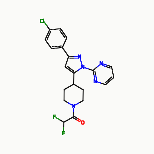 O=C(C(F)F)N1CCC(c2cc(-c3ccc(Cl)cc3)nn2-c2ncccn2)CC1